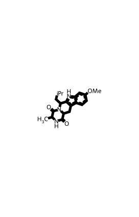 COc1ccc2c3c([nH]c2c1)C(CC(C)C)N1C(=O)C(C)NC(=O)C1C3